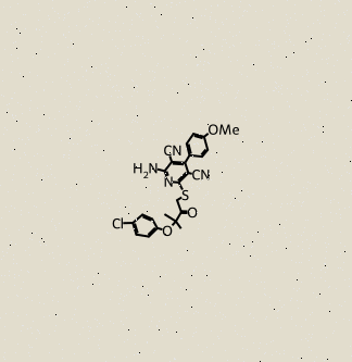 COc1ccc(-c2c(C#N)c(N)nc(SCC(=O)C(C)(C)Oc3ccc(Cl)cc3)c2C#N)cc1